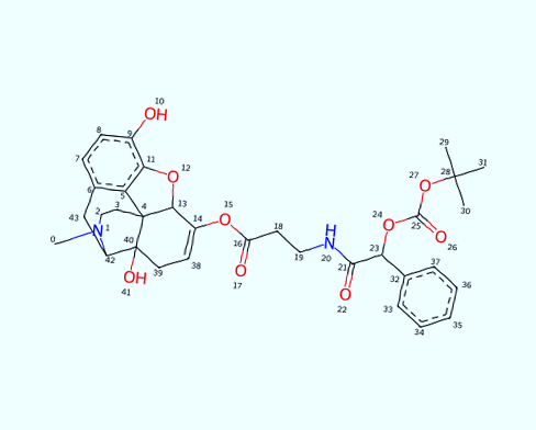 CN1CCC23c4c5ccc(O)c4OC2C(OC(=O)CCNC(=O)C(OC(=O)OC(C)(C)C)c2ccccc2)=CCC3(O)C1C5